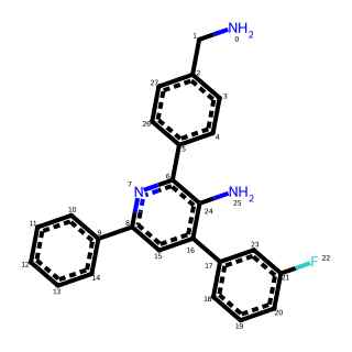 NCc1ccc(-c2nc(-c3ccccc3)cc(-c3cccc(F)c3)c2N)cc1